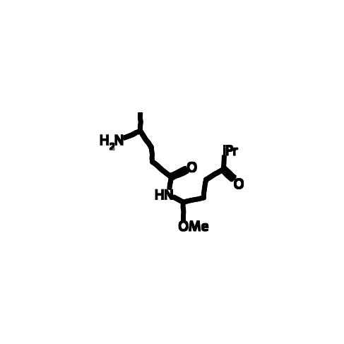 COC(CCC(=O)C(C)C)NC(=O)CCC(C)N